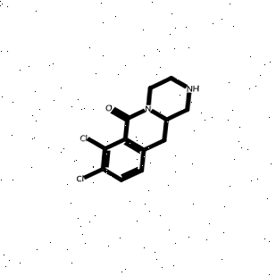 O=C1c2c(ccc(Cl)c2Cl)CC2CNCCN12